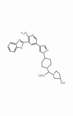 Nc1ncc(-c2cnn(C3CCN(C(C=O)N4CCC(O)C4)CC3)c2)cc1-c1nc2ccccc2s1